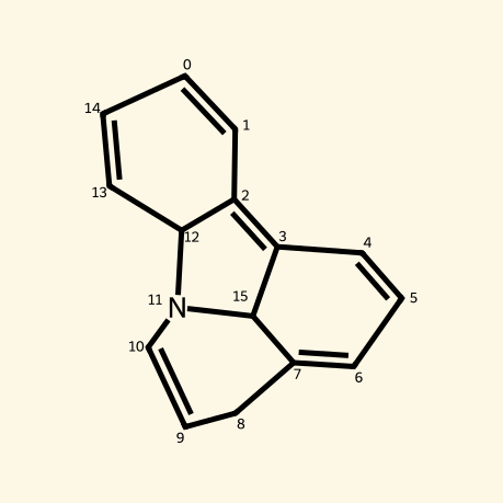 C1=CC2=C3C=CC=C4CC=CN(C2C=C1)C43